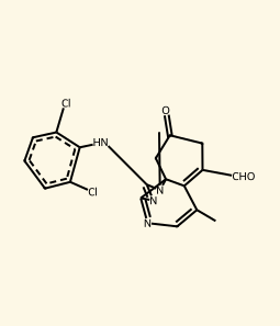 CC1=CN=C2N=C(Nc3c(Cl)cccc3Cl)N(C)C23CC(=O)CC(C=O)=C13